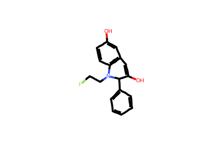 OC1=Cc2cc(O)ccc2N(CCF)C1c1ccccc1